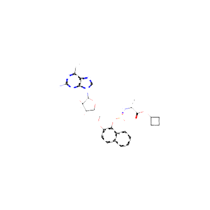 COc1nc(N)nc2c1ncn2C1O[C@H](COc2ccc3ccccc3c2O/[P+]([O-])=N/[C@H](C(=O)OC2CCC2)C(C)C)[C@@H](O)[C@@]1(C)O